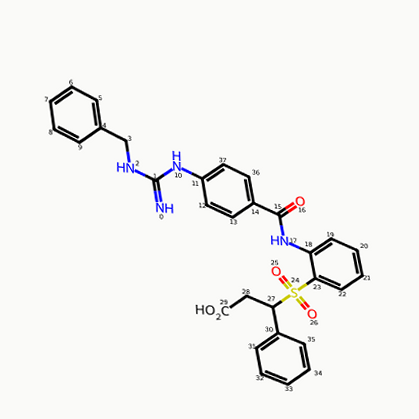 N=C(NCc1ccccc1)Nc1ccc(C(=O)Nc2ccccc2S(=O)(=O)C(CC(=O)O)c2ccccc2)cc1